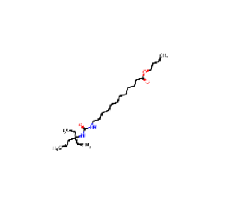 C=CCC(CC)(CC)NC(=O)NCCCCCCCCCCCC(=O)OCCCC